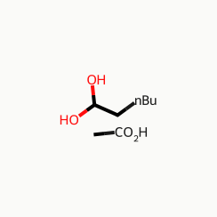 CC(=O)O.CCCCCC(O)O